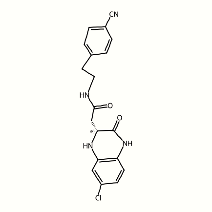 N#Cc1ccc(CCNC(=O)C[C@H]2Nc3cc(Cl)ccc3NC2=O)cc1